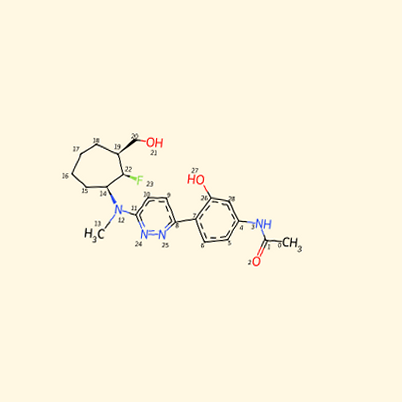 CC(=O)Nc1ccc(-c2ccc(N(C)[C@H]3CCCC[C@@H](CO)[C@H]3F)nn2)c(O)c1